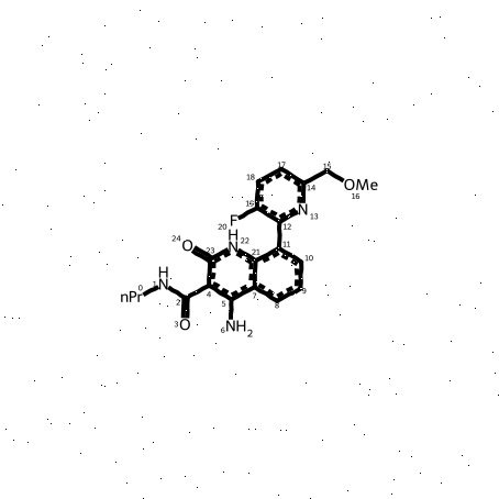 CCCNC(=O)c1c(N)c2cccc(-c3nc(COC)ccc3F)c2[nH]c1=O